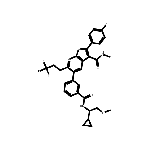 CNC(=O)c1c(-c2ccc(F)cc2)oc2nc(CCC(F)(F)F)c(-c3cccc(C(=O)NC(COC)C4CC4)c3)cc12